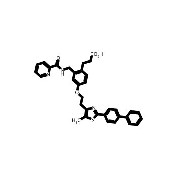 Cc1sc(-c2ccc(-c3ccccc3)cc2)nc1CCOc1ccc(CCC(=O)O)c(CNC(=O)c2ccccn2)c1